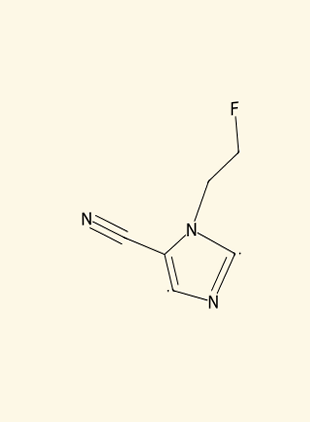 N#Cc1[c]n[c]n1CCF